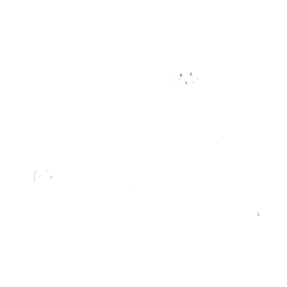 CSc1cc(I)cc(CO)c1